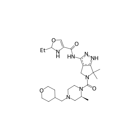 CCC1NC(C(=O)Nc2n[nH]c3c2CN(C(=O)N2CCN(CC4CCOCC4)C[C@@H]2C)C3(C)C)=CO1